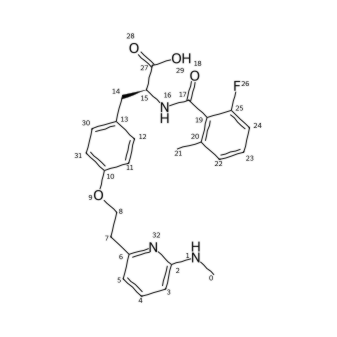 CNc1cccc(CCOc2ccc(C[C@H](NC(=O)c3c(C)cccc3F)C(=O)O)cc2)n1